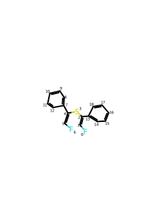 FC=C(SC(=CF)c1ccccc1)c1ccccc1